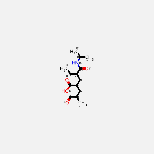 CCC(CC(CC(C)C=O)C(=O)O)C(=O)NC(C)C